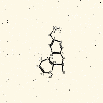 CC(Cc1ccc(CN)cc1)C1=NCC=CS1